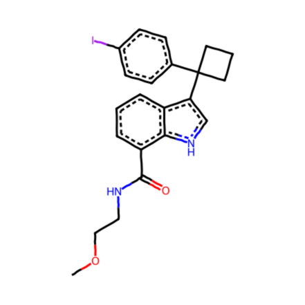 COCCNC(=O)c1cccc2c(C3(c4ccc(I)cc4)CCC3)c[nH]c12